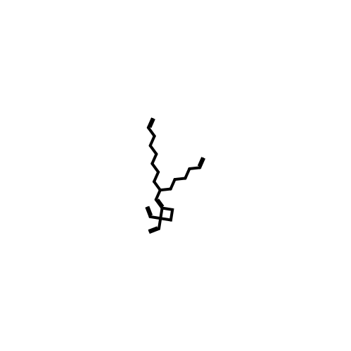 C=CCCCCCCC(C=C1CCC1(C=C)C=C)CCCCC=C